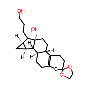 C[C@]12CC[C@@H]3C4=C(CC[C@H]3[C@@H]1[C@H]1C[C@H]1[C@@]2(O)CCCO)CC1(CC4)OCCO1